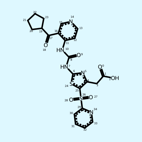 O=C(O)Cc1nc(NC(=O)Nc2ccncc2C(=O)C2CCCC2)sc1S(=O)(=O)c1ccccn1